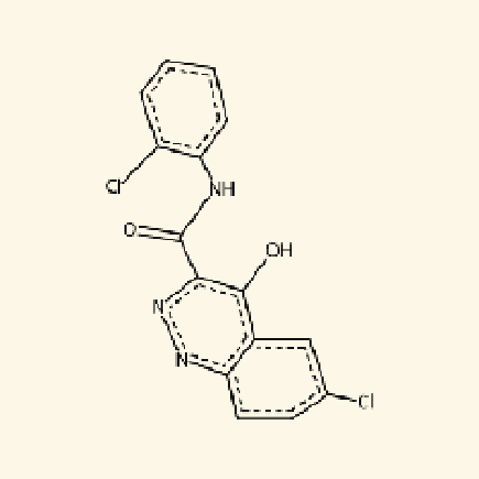 O=C(Nc1ccccc1Cl)c1nnc2ccc(Cl)cc2c1O